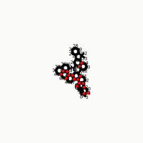 CC(C)(C)c1ccc(-c2cc(-c3ccccc3)c(N(c3ccc4c(c3)-c3ccccc3C4(C)C)c3ccc4ccccc4c3-c3cccc(-c4cccc5c4oc4ccccc45)c3)c(-c3ccccc3)c2)cc1